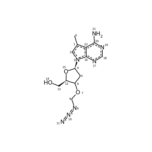 Cc1cn([C@H]2CC(OCN=[N+]=[N-])[C@@H](CO)O2)c2ncnc(N)c12